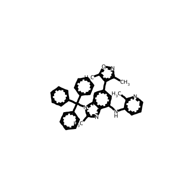 Cc1ncccc1Nc1cc(-c2c(C)noc2C)cc2c1nc(C)n2C(c1ccccc1)(c1ccccc1)c1ccccc1